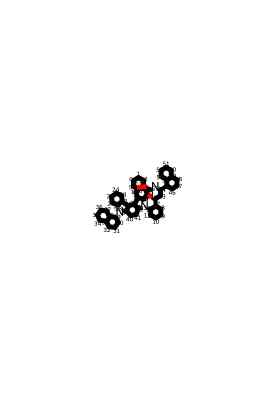 c1ccc(-c2nc(-c3ccccc3-n3c4ccccc4c4c5c6ccccc6n(-c6cccc7ccccc67)c5ccc43)cc(-c3cccc4ccccc34)n2)cc1